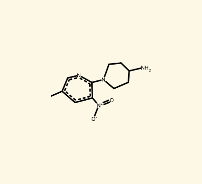 Cc1cnc(N2CCC(N)CC2)c([N+](=O)[O-])c1